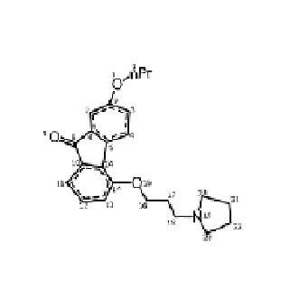 CCCOc1ccc2c(c1)C(=O)c1cccc(OCCCN3CCCC3)c1-2